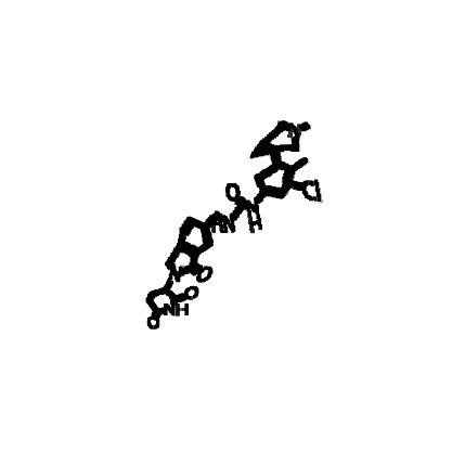 Cc1c(Cl)cc(NC(=O)NCc2ccc3c(c2)C(=O)N(C2CCC(=O)NC2=O)C3)cc1C12CC1CN(C)C2